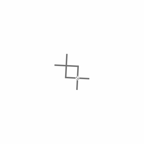 CC1(C)C[Si](C)(C)C1